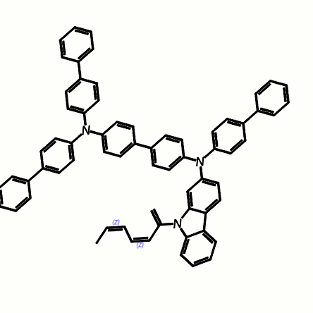 C=C(/C=C\C=C/C)n1c2ccccc2c2ccc(N(c3ccc(-c4ccccc4)cc3)c3ccc(-c4ccc(N(c5ccc(-c6ccccc6)cc5)c5ccc(-c6ccccc6)cc5)cc4)cc3)cc21